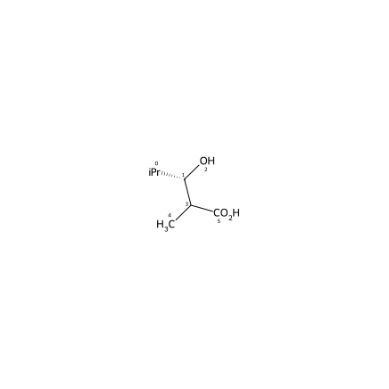 CC(C)[C@H](O)C(C)C(=O)O